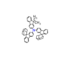 CC1(C)c2ccccc2-c2ccc(N(c3ccc4c(c3)C3(c5ccccc5-4)C4CC5CC(C4)CC3C5)c3ccc4c(c3)C3(c5ccccc5-4)C4CC5CC(C4)CC3C5)cc21